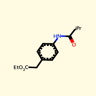 CCOC(=O)Cc1ccc(NC(=O)C(C)C)cc1